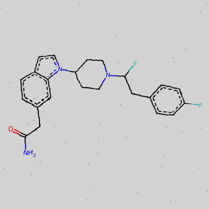 NC(=O)Cc1ccc2ccn(C3CCN(C(F)Cc4ccc(F)cc4)CC3)c2c1